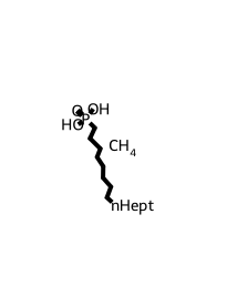 C.CCCCCCCCCCCCCCCP(=O)(O)O